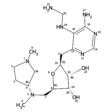 CN1CC[C@@H](N(C)C[C@H]2O[C@@H](Cc3ncnc(N)c3NCN)[C@H](O)[C@@H]2O)C1